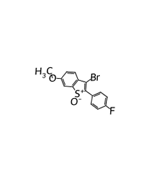 COc1ccc2c(Br)c(-c3ccc(F)cc3)[s+]([O-])c2c1